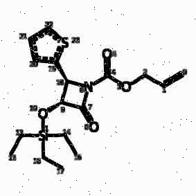 C=CCOC(=O)N1C(=O)[C@@H](O[Si](CC)(CC)CC)[C@H]1c1cccs1